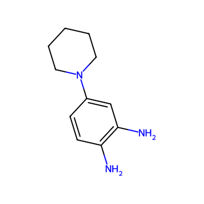 Nc1ccc(N2CCCCC2)cc1N